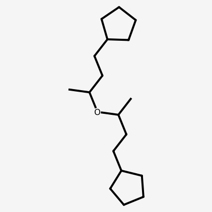 CC(CCC1CCCC1)OC(C)CCC1CCCC1